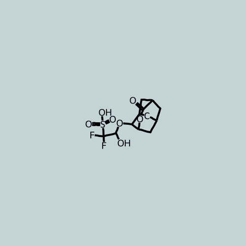 O=C1OC2CC3CC1CC(C3)C2OC(O)C(F)(F)S(=O)(=O)O